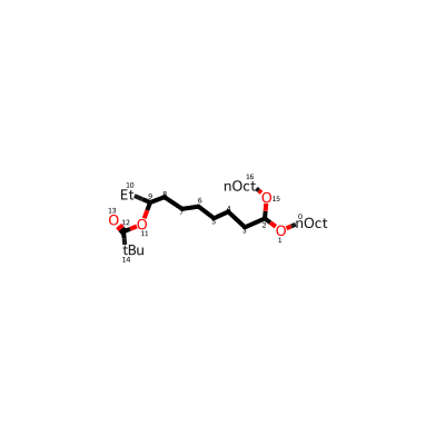 CCCCCCCCOC(CCCCCCC(CC)OC(=O)C(C)(C)C)OCCCCCCCC